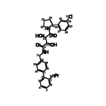 CCCc1ccccc1-c1ccc(CNC(=O)[C@H](O)[C@@H](O)C(=O)N2CCC[C@@H]2c2cccc(Cl)c2)cc1